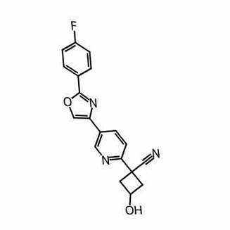 N#CC1(c2ccc(-c3coc(-c4ccc(F)cc4)n3)cn2)CC(O)C1